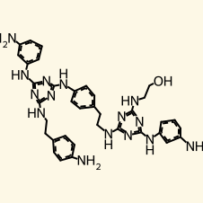 Nc1ccc(CCNc2nc(Nc3ccc(CCNc4nc(NCCO)nc(Nc5cccc(N)c5)n4)cc3)nc(Nc3cccc(N)c3)n2)cc1